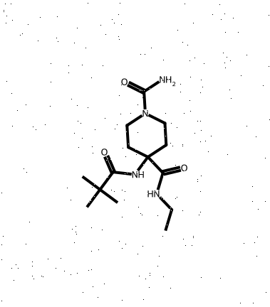 CCNC(=O)C1(NC(=O)C(C)(C)C)CCN(C(N)=O)CC1